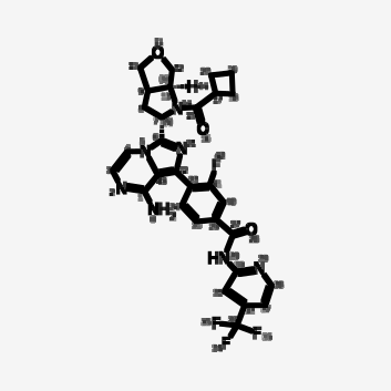 Nc1nccn2c([C@@H]3CC4COC[C@H]4N3C(=O)C3CCC3)nc(-c3ccc(C(=O)Nc4cc(C(F)(F)F)ccn4)cc3F)c12